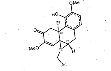 CC[C@@]12CC(=O)C(OC)=CC13[C@H](Cc1ccc(OC)c(O)c12)N3CC(C)=O